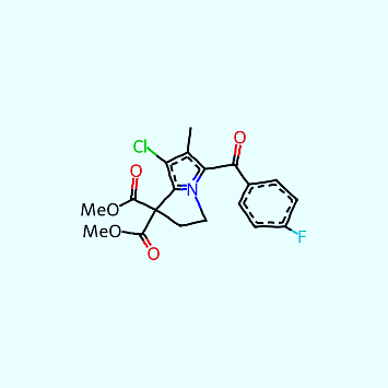 COC(=O)C1(C(=O)OC)CCn2c(C(=O)c3ccc(F)cc3)c(C)c(Cl)c21